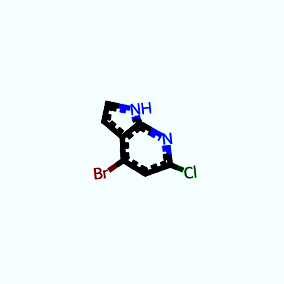 Clc1cc(Br)c2cc[nH]c2n1